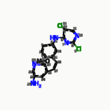 COc1ccc(Nc2nc(Cl)ncc2Cl)cc1/C=C\c1cncc(N)c1